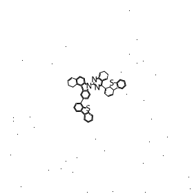 C1=CC2c3ccccc3SC2C(c2nc(-n3c4ccc(-c5cccc6c5sc5ccccc56)cc4c4c5c(ccc43)C=CCC5)nc3c2=CCCC=3)=C1